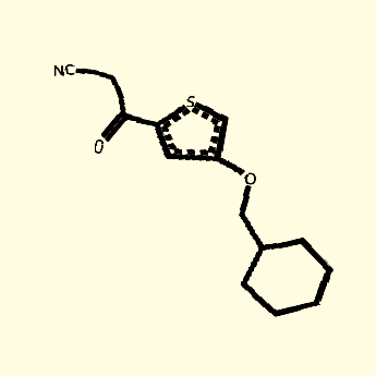 N#CCC(=O)c1cc(OCC2CCCCC2)cs1